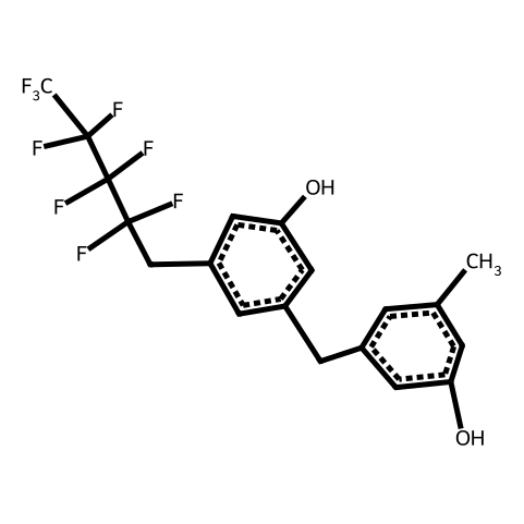 Cc1cc(O)cc(Cc2cc(O)cc(CC(F)(F)C(F)(F)C(F)(F)C(F)(F)F)c2)c1